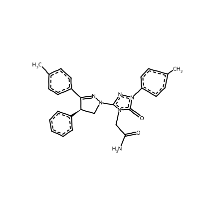 Cc1ccc(C2=NN(c3nn(-c4ccc(C)cc4)c(=O)n3CC(N)=O)C[C@H]2c2ccccc2)cc1